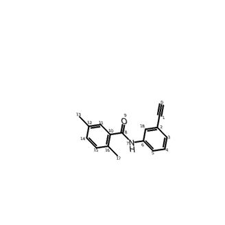 C#Cc1cccc(NC(=O)c2cc(C)ccc2C)c1